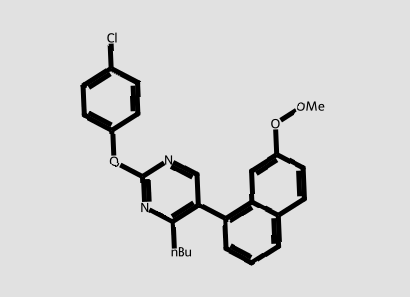 CCCCc1nc(Oc2ccc(Cl)cc2)ncc1-c1cccc2ccc(OOC)cc12